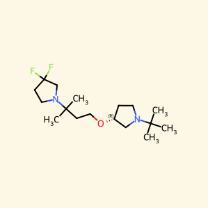 CC(C)(C)N1CC[C@@H](OCCC(C)(C)N2CCC(F)(F)C2)C1